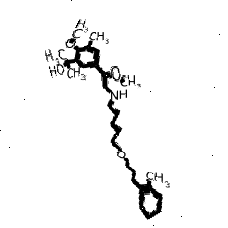 COc1c(C)cc(C(CNCCCCCCOCCCCc2ccccc2C)OC)cc1C(C)(C)O